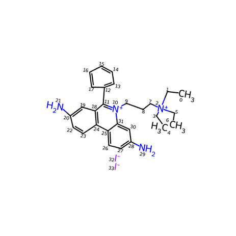 CC[N+](CC)(CC)CCC[n+]1c(-c2ccccc2)c2cc(N)ccc2c2ccc(N)cc21.[I-].[I-]